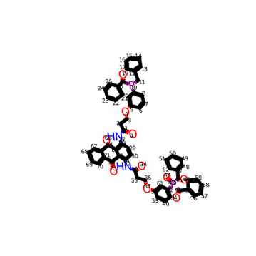 O=C(CCOc1cccc(P(Cc2ccccc2)C(=O)c2ccccc2)c1)Nc1ccc(NC(=O)CCOc2cccc(P(=O)(C(=O)c3ccccc3)C(=O)c3ccccc3)c2)c2c1C(=O)c1ccccc1C2=O